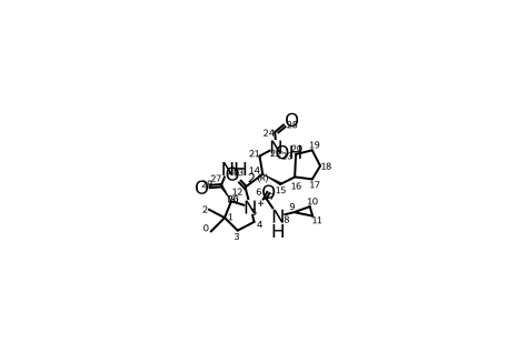 CC1(C)CC[N+](C(=O)NC2CC2)(C(=O)[C@H](CC2CCCC2)CN(O)C=O)[C@@H]1C(N)=O